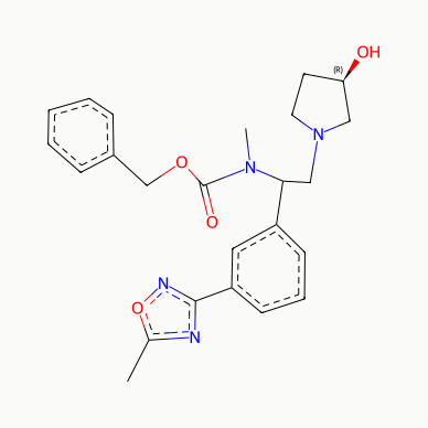 Cc1nc(-c2cccc(C(CN3CC[C@@H](O)C3)N(C)C(=O)OCc3ccccc3)c2)no1